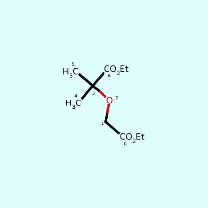 CCOC(=O)COC(C)(C)C(=O)OCC